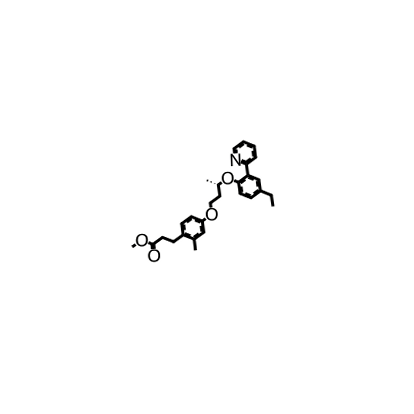 CCc1ccc(O[C@@H](C)CCOc2ccc(CCC(=O)OC)c(C)c2)c(-c2ccccn2)c1